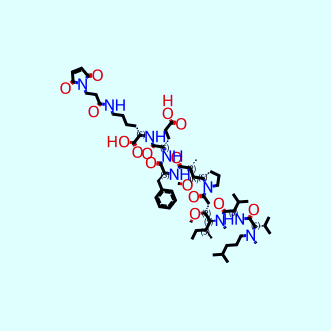 CC[C@H](C)[C@@H]([C@@H](CC(=O)N1CCC[C@H]1[C@H](OC)[C@@H](C)C(=O)N[C@@H](Cc1ccccc1)C(=O)N[C@@H](CCC(=O)O)C(=O)N[C@@H](CCCCNC(=O)CCN1C(=O)C=CC1=O)C(=O)O)OC)N(C)C(=O)[C@@H](NC(=O)[C@H](C(C)C)N(C)CCCC(C)C)C(C)C